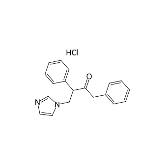 Cl.O=C(Cc1ccccc1)C(Cn1ccnc1)c1ccccc1